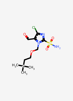 C[Si](C)(C)CCOCn1c(S(N)(=O)=O)nc(Cl)c1C=O